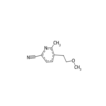 COCCc1ccc(C#N)nc1C